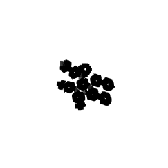 CC(C)(C)c1ccc(N2c3ccc(C(C)(C)C)cc3B3c4ccc(-c5ccccc5)cc4N(c4cccc(-c5ccccc5)c4)c4cc(N5c6ccc(-c7ccncc7)cc6C6(C)CCCCC56C)cc2c43)cc1